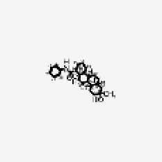 CC[C@]12CC[C@@](C)(O)C[C@H]1CC[C@H]1[C@@H]3CCC[C@H](C(=O)Nc4ccccc4)[C@@]3(C)CC[C@@H]12